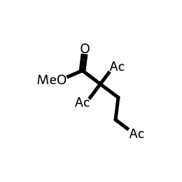 COC(=O)C(CCC(C)=O)(C(C)=O)C(C)=O